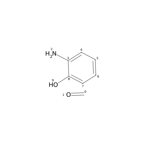 C=O.Nc1ccccc1O